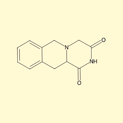 O=C1CN2Cc3ccccc3CC2C(=O)N1